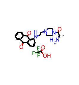 C[C@H](N)C(=O)N1CCN(CCNc2cccc3c2C(=O)c2ccccc2C3=O)CC1.O=C(O)C(F)(F)F